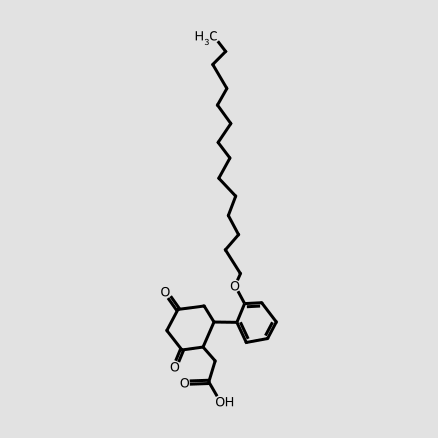 CCCCCCCCCCCCCCOc1ccccc1C1CC(=O)CC(=O)C1CC(=O)O